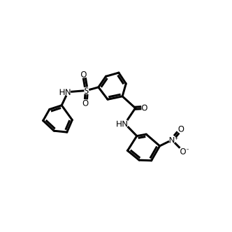 O=C(Nc1cccc([N+](=O)[O-])c1)c1cccc(S(=O)(=O)Nc2ccccc2)c1